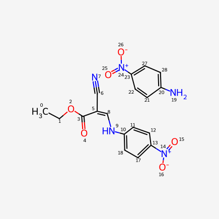 CCOC(=O)/C(C#N)=C\Nc1ccc([N+](=O)[O-])cc1.Nc1ccc([N+](=O)[O-])cc1